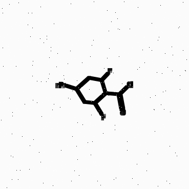 CCCC1CC(F)C(C(=O)Cl)C(F)C1